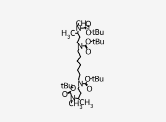 CC(CCN(CCCCCCCN(CCC(C)N(C)C(=O)OC(C)(C)C)C(=O)OC(C)(C)C)C(=O)OC(C)(C)C)N(C)C(=O)OC(C)(C)C